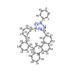 c1ccc(-c2nc3nc(n2)c2ccc4ccc5c(cc(c6ccccc6c6cccc3c6)c3ccccc53)c4c2)cc1